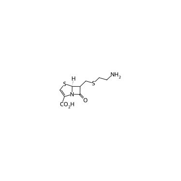 NCCSCC1C(=O)N2C(C(=O)O)=CS[C@@H]12